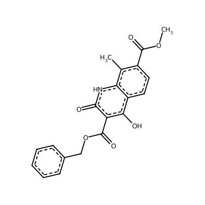 COC(=O)c1ccc2c(O)c(C(=O)OCc3ccccc3)c(=O)[nH]c2c1C